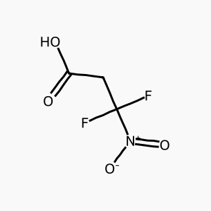 O=C(O)CC(F)(F)[N+](=O)[O-]